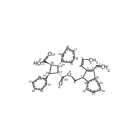 C=CC1=C(/C=C\C)C(COC(=O)[C@H]2[C@@H](c3ccccc3)[C@H](C(=O)O)[C@@H]2c2ccccc2)c2ccccc21